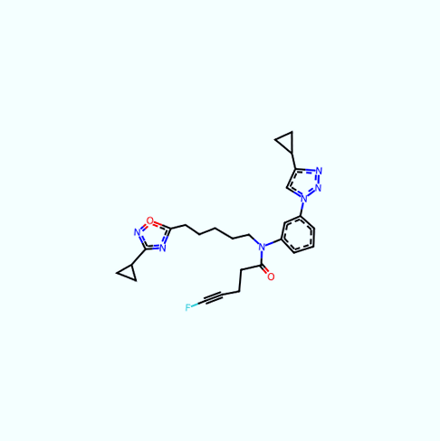 O=C(CCC#CF)N(CCCCCc1nc(C2CC2)no1)c1cccc(-n2cc(C3CC3)nn2)c1